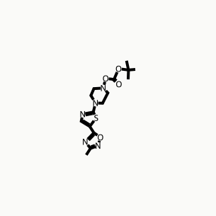 Cc1noc(-c2cnc(N3CCN(OC(=O)OC(C)(C)C)CC3)s2)n1